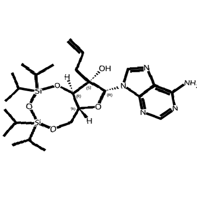 C=CC[C@]1(O)[C@@H]2O[Si](C(C)C)(C(C)C)O[Si](C(C)C)(C(C)C)OC[C@H]2O[C@H]1n1cnc2c(N)ncnc21